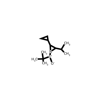 CC(C)C1C(C2CC2)N1[S+]([O-])C(C)(C)C